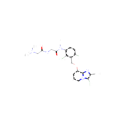 Cc1nc2c(OCc3c(Cl)ccc(N(C)C(=O)CNC(=O)CN(C)C(C)C)c3Cl)cccn2c1Br